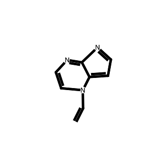 C=Cn1ccnc2nccc1-2